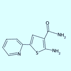 NC(=O)c1cc(-c2ccccn2)sc1N